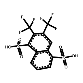 O=S(=O)(O)c1cccc2c(S(=O)(=O)O)c(C(F)(F)F)c(C(F)(F)F)cc12